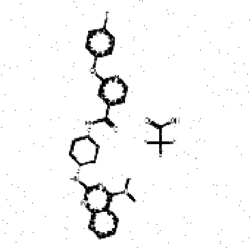 CN(C)c1nc(N[C@H]2CC[C@@H](NC(=O)c3ccnc(Oc4ccc(F)cc4)c3)CC2)nc2ccccc12.O=C(O)C(F)(F)F